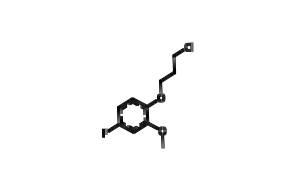 COc1cc(F)ccc1OCCCCl